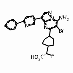 Nc1c(Br)c(C2CCC([C@H](F)C(=O)O)CC2)nc2c(-c3ccc(-c4ccccc4)nc3)cnn12